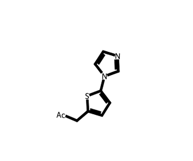 CC(=O)Cc1ccc(-n2ccnc2)s1